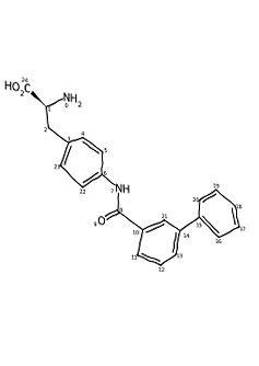 N[C@@H](Cc1ccc(NC(=O)c2cccc(-c3ccccc3)c2)cc1)C(=O)O